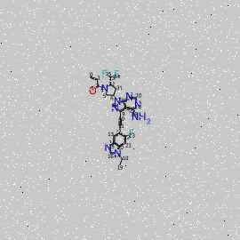 C=CC(=O)N1C[C@@H](n2nc(C#Cc3cc4ncn(CC)c4cc3F)c3c(N)ncnc32)CC1C(F)F